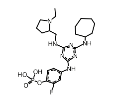 CCN1CCCC1CNc1nc(Nc2ccc(OP(=O)(O)O)c(F)c2)nc(NC2CCCCCC2)n1